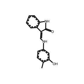 Cc1ccc(NC=C2C(=O)Nc3ccccc32)cc1O